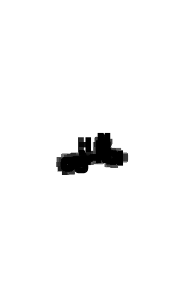 CN1CCc2c(c3cnccc3n2CCCNC(=O)Cc2ccccc2)C1